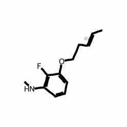 C/C=C/CCOc1cccc(NC)c1F